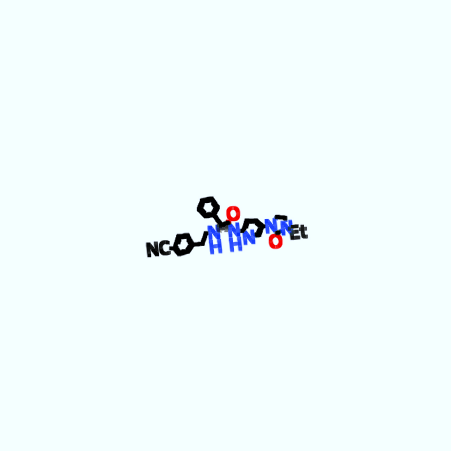 CCN1CCN(c2ccc(NC(=O)[C@H](NCCc3ccc(C#N)cc3)c3ccccc3)nc2)C1=O